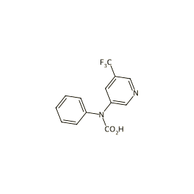 O=C(O)N(c1ccccc1)c1cncc(C(F)(F)F)c1